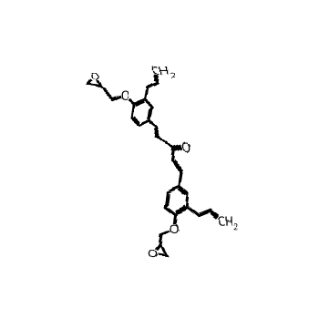 C=CCc1cc(C=CC(=O)C=Cc2ccc(OCC3CO3)c(CC=C)c2)ccc1OCC1CO1